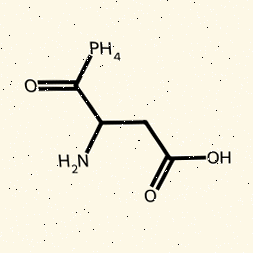 NC(CC(=O)O)C(=O)[PH4]